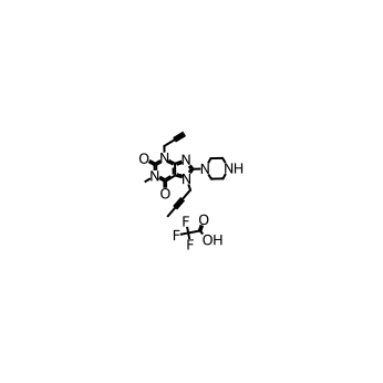 C#CCn1c(=O)n(C)c(=O)c2c1nc(N1CCNCC1)n2CC#CC.O=C(O)C(F)(F)F